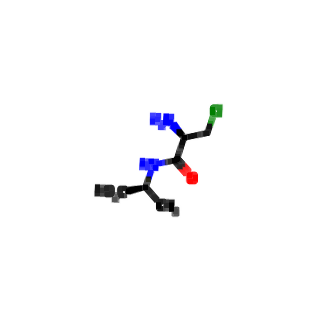 C[C@H](NC(=O)[C@@H](N)CCl)C(=O)O